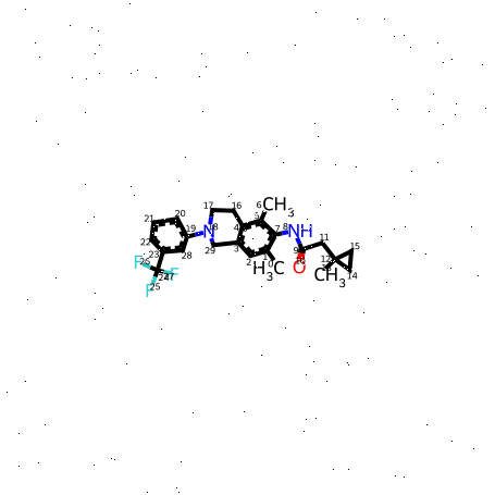 Cc1cc2c(c(C)c1NC(=O)CC1(C)CC1)CCN(c1cccc(C(F)(F)F)c1)C2